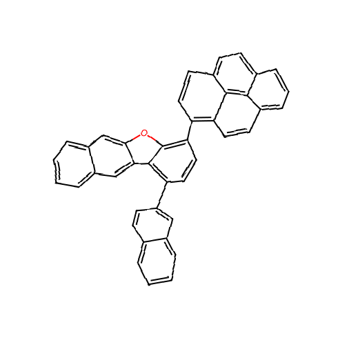 c1ccc2cc(-c3ccc(-c4ccc5ccc6cccc7ccc4c5c67)c4oc5cc6ccccc6cc5c34)ccc2c1